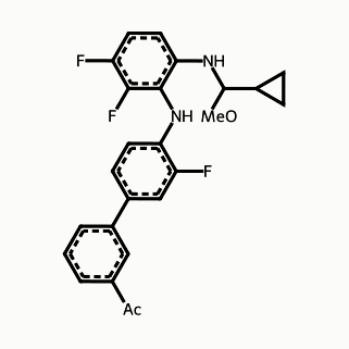 COC(Nc1ccc(F)c(F)c1Nc1ccc(-c2cccc(C(C)=O)c2)cc1F)C1CC1